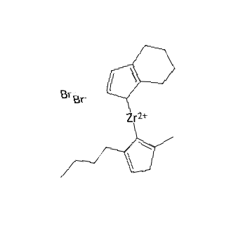 CCCCC1=CCC(C)=[C]1[Zr+2][CH]1C=CC2=C1CCCC2.[Br-].[Br-]